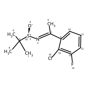 CC(=N[S@+]([O-])C(C)(C)C)c1cccc(F)c1Cl